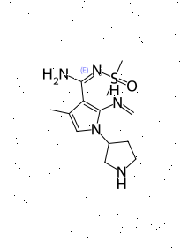 C=Nc1c(/C(N)=N\[SH](C)(C)=O)c(C)cn1C1CCNC1